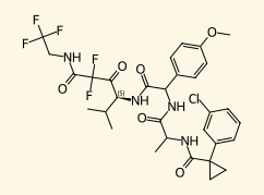 COc1ccc(C(NC(=O)C(C)NC(=O)C2(c3cccc(Cl)c3)CC2)C(=O)N[C@H](C(=O)C(F)(F)C(=O)NCC(F)(F)F)C(C)C)cc1